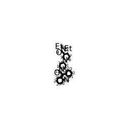 CCN(CC)C(=O)C1CCCN(C2CCN(C(=O)c3c4c(nc5ccccc35)CCCC4)CC2)C1